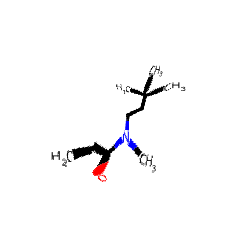 C=CC(=O)N(C)CCC(C)(C)C